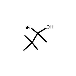 CC(C)C(C)(O)C(C)(C)C